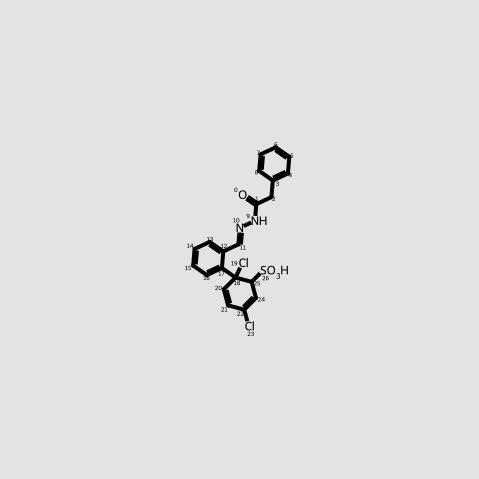 O=C(Cc1ccccc1)N/N=C/c1ccccc1C1(Cl)C=CC(Cl)=CC1S(=O)(=O)O